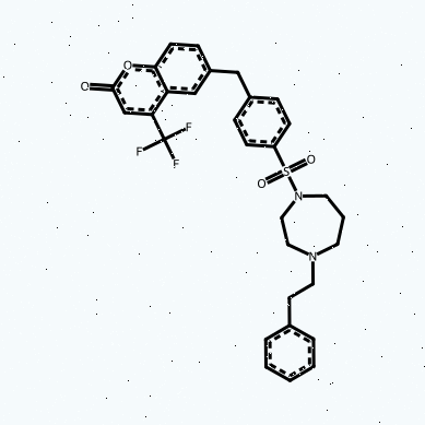 O=c1cc(C(F)(F)F)c2cc(Cc3ccc(S(=O)(=O)N4CCCN(CCc5ccccc5)CC4)cc3)ccc2o1